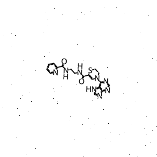 O=C(NCCNC(=O)c1ccccn1)C1=CN(c2ncnc3nc[nH]c23)CCS1